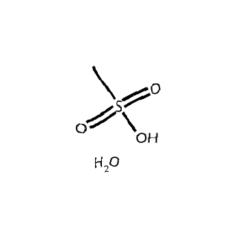 CS(=O)(=O)O.O